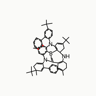 CC1=CC2=C(CC1)NC1CC(C(C)(C)C)=CC3=C1B1C=C2N(C2=CCC(C)(C(C)(C)C)C=C2c2ccccc2)c2cc(C)cc(c21)N3c1ccc(C(C)(C)C)cc1-c1ccccc1